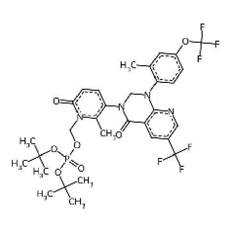 Cc1cc(OC(F)(F)F)ccc1N1CN(c2ccc(=O)n(COP(=O)(OC(C)(C)C)OC(C)(C)C)c2C)C(=O)c2cc(C(F)(F)F)cnc21